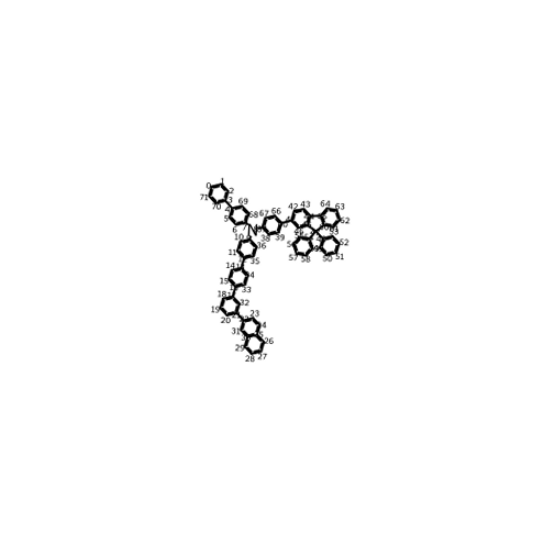 c1ccc(-c2ccc(N(c3ccc(-c4ccc(-c5cccc(-c6ccc7ccccc7c6)c5)cc4)cc3)c3ccc(-c4ccc5c(c4)C(c4ccccc4)(c4ccccc4)c4ccccc4-5)cc3)cc2)cc1